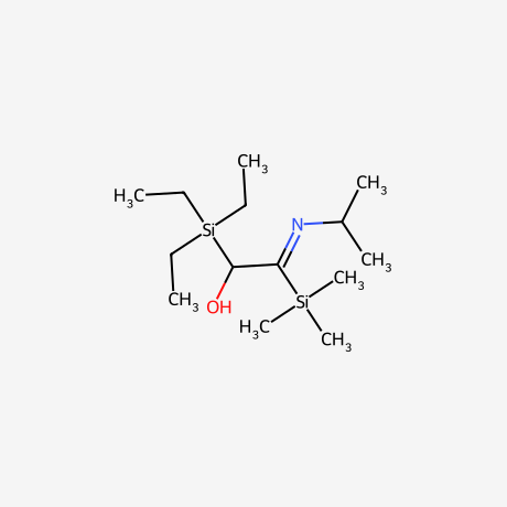 CC[Si](CC)(CC)C(O)C(=NC(C)C)[Si](C)(C)C